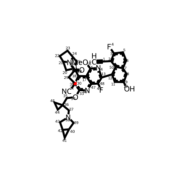 C#Cc1c(F)ccc2cc(O)cc(-c3nc(OC)c4c(N5CC6CCC(C5)N6C(=O)CCC#N)nc(OCC5(CN6CC7CC7C6)CC5)nc4c3F)c12